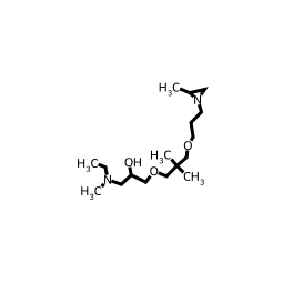 CCN(C)CC(O)COCC(C)(C)COCCCN1CC1C